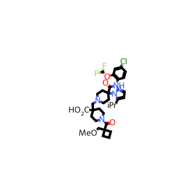 COCC1(C(=O)N2CCC(CN3CCC(C(=O)Nc4ccc(Cl)cc4OC(F)F)(n4nccc4C(C)C)CC3)(C(=O)O)CC2)CCC1